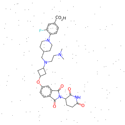 CN(C)CCN(CC1CCN(c2ccc(C(=O)O)cc2F)CC1)C1CC(Oc2ccc3c(c2)C(=O)N(C2CCC(=O)NC2=O)C3=O)C1